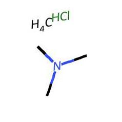 C.CN(C)C.Cl